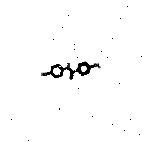 Cc1ccc(C(=O)NC2CCC(O)CC2)cc1